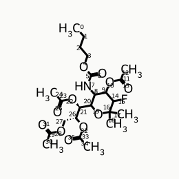 CCCCOC(=O)NC1C(OC(C)=O)C(F)C(C)(C)OC1[C@H](OC(C)=O)[C@@H](COC(C)=O)OC(C)=O